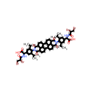 CC(C)c1cc(C(NC(=O)C(Br)CBr)C(=O)O)cc(C(C)C)c1N1C(=O)c2ccc3c4ccc5c6c(ccc(c7ccc(c2c37)C1=O)c64)C(=O)N(c1c(C(C)C)cc(C(NC(=O)C(Br)CBr)C(=O)O)cc1C(C)C)C5=O